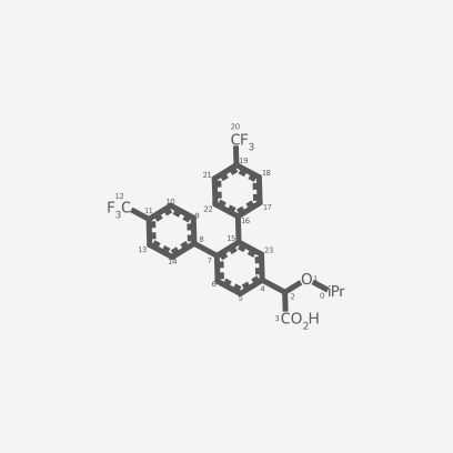 CC(C)OC(C(=O)O)c1ccc(-c2ccc(C(F)(F)F)cc2)c(-c2ccc(C(F)(F)F)cc2)c1